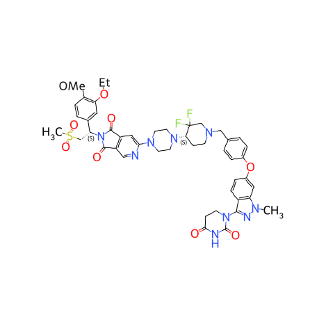 CCOc1cc([C@@H](CS(C)(=O)=O)N2C(=O)c3cnc(N4CCN([C@H]5CCN(Cc6ccc(Oc7ccc8c(N9CCC(=O)NC9=O)nn(C)c8c7)cc6)CC5(F)F)CC4)cc3C2=O)ccc1OC